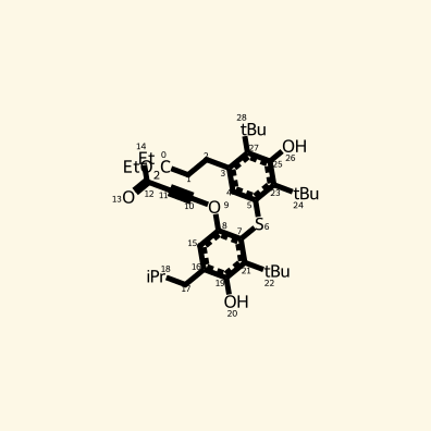 CCOC(=O)CCc1cc(Sc2c(OC#CC(=O)CC)cc(CC(C)C)c(O)c2C(C)(C)C)c(C(C)(C)C)c(O)c1C(C)(C)C